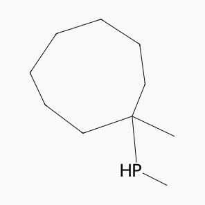 CPC1(C)CCCCCCC1